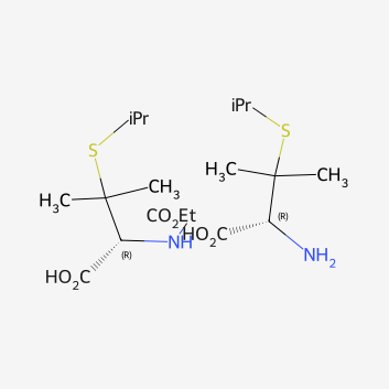 CC(C)SC(C)(C)[C@H](N)C(=O)O.CCOC(=O)N[C@H](C(=O)O)C(C)(C)SC(C)C